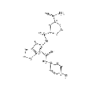 NC(=O)N1CCCC(C(=O)Nc2sc3c(c2C(=O)Nc2ccc(Cl)cc2)CCC3)C1